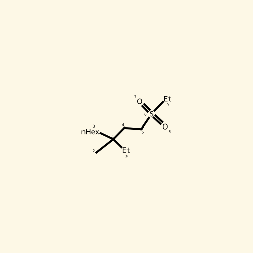 CCCCCCC(C)(CC)CCS(=O)(=O)CC